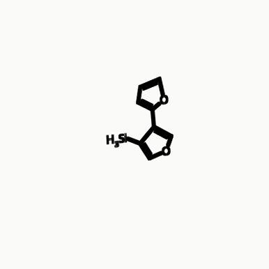 [SiH3]c1cocc1-c1ccco1